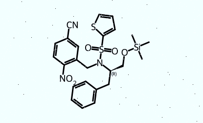 C[Si](C)(C)OC[C@@H](Cc1ccccc1)N(Cc1cc(C#N)ccc1[N+](=O)[O-])S(=O)(=O)c1cccs1